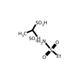 CC(S(=O)(=O)O)S(=O)(=O)O.CCS(N)(=O)=O